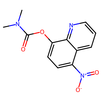 CN(C)C(=O)Oc1ccc([N+](=O)[O-])c2cccnc12